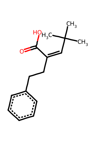 CC(C)(C)C=C(CCc1ccccc1)C(=O)O